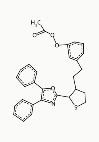 CC(=O)OOc1cccc(CCC2CCSC2c2nc(-c3ccccc3)c(-c3ccccc3)o2)c1